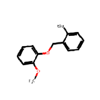 CC(C)(C)c1ccccc1COc1ccccc1OC(F)(F)F